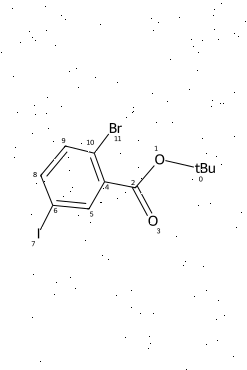 CC(C)(C)OC(=O)c1cc(I)ccc1Br